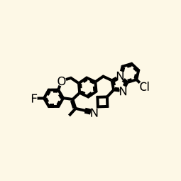 CC(C#N)=C1c2ccc(Cc3c(C4CCC4)nc4c(Cl)cccn34)cc2COc2cc(F)ccc21